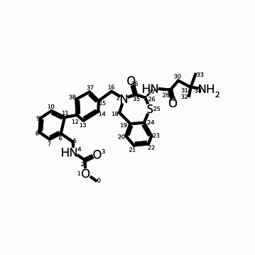 COC(=O)NCc1ccccc1-c1ccc(CN2Cc3ccccc3S[C@@H](NC(=O)CC(C)(C)N)C2=O)cc1